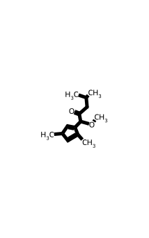 COC(C(=O)CC(C)C)C1=CC(C)C=C1C